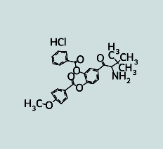 COc1ccc(C(=O)Oc2ccc(C(=O)C(N)C(C)(C)C)cc2OC(=O)c2ccccc2)cc1.Cl